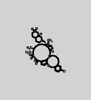 CO[C@]1(CN2CCN3CCS(=O)(=O)C[C@@H]3C2)CCC[C@H](C)[C@@H](C)S(=O)(=O)NC(=O)c2ccc3c(c2)N(CCCCc2cc(Cl)ccc2CO3)C[C@@H]2CC[C@H]21